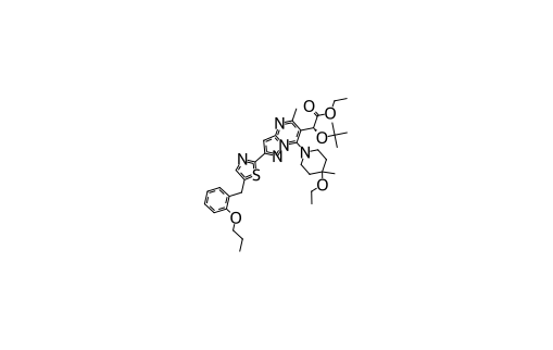 CCCOc1ccccc1Cc1cnc(-c2cc3nc(C)c([C@H](OC(C)(C)C)C(=O)OCC)c(N4CCC(C)(OCC)CC4)n3n2)s1